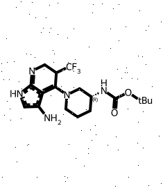 CC(C)(C)OC(=O)N[C@@H]1CCCN(C2=c3c(N)c[nH]c3=NCC2C(F)(F)F)C1